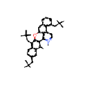 Cc1c2c(c(CC(C)(C)C)c3ccc(CC(C)(C)C)cc13)Oc1cc3cccc(CC(C)(C)C)c3c3cc[n+](C)c-2c13